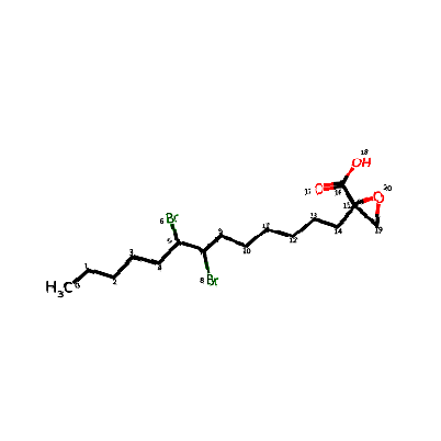 CCCCCC(Br)C(Br)CCCCCCC1(C(=O)O)CO1